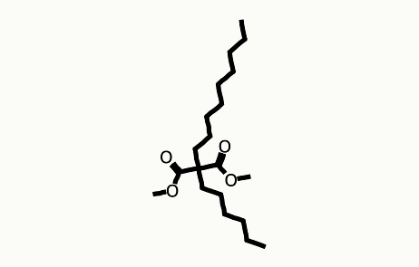 CCCCCCCCCC(CCCCCC)(C(=O)OC)C(=O)OC